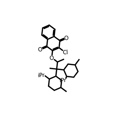 CC1CCC(C(C)C)C(C(C)(C(C)OC2=C(Cl)C(=O)c3ccccc3C2=O)C2CC(C)CCC2C(C)C)C1